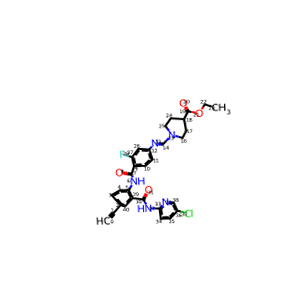 C#Cc1ccc(NC(=O)c2ccc(N=CN3CCC(C(=O)OCC)CC3)cc2F)c(C(=O)Nc2ccc(Cl)cn2)c1